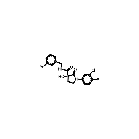 O=C(NCc1cccc(Br)c1)[C@@]1(O)CCN(c2ccc(F)c(Cl)c2)C1=O